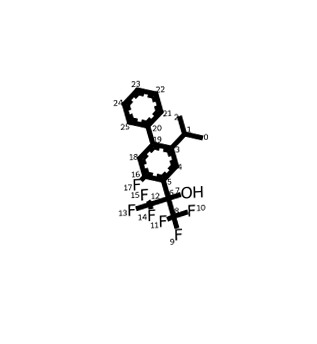 CC(C)c1cc(C(O)(C(F)(F)F)C(F)(F)F)c(F)cc1-c1ccccc1